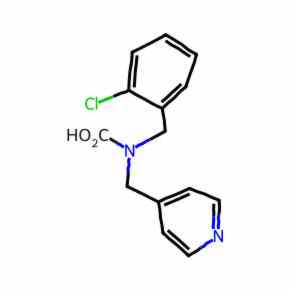 O=C(O)N(Cc1ccncc1)Cc1ccccc1Cl